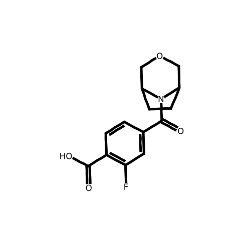 O=C(O)c1ccc(C(=O)N2C3CCC2COC3)cc1F